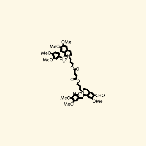 COc1cc2c(cc1C=O)CC[N+](C)(CCCOC(=O)/C=C/C(=O)OCCC[N@+]1(C)CCc3cc(OC)c(OC)cc3[C@H]1Cc1ccc(OC)c(OC)c1)[C@@H]2Cc1ccc(OC)c(OC)c1